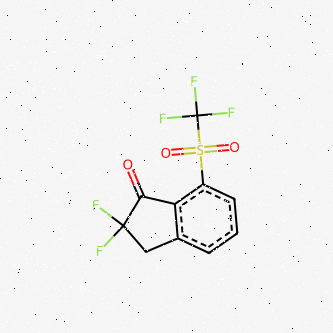 O=C1c2c(cccc2S(=O)(=O)C(F)(F)F)CC1(F)F